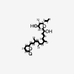 C/C=C/[C@@H]1O[C@H]([C@H](O)/C=C/C=C(\C)C[C@@H](C)/C=C(C)\C=C\C2CC=CC(=O)O2)C[C@@H](O)[C@@H]1C